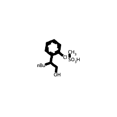 CCCCC(CO)c1ccccc1Cl.CS(=O)(=O)O